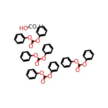 O=C(O)O.O=C(Oc1ccccc1)Oc1ccccc1.O=C(Oc1ccccc1)Oc1ccccc1.O=C(Oc1ccccc1)Oc1ccccc1.O=C(Oc1ccccc1)Oc1ccccc1